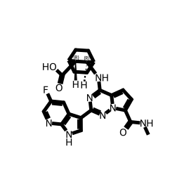 CNC(=O)c1ccc2c(N[C@@H]3C4CCC(CC4)[C@H]3C(=O)O)nc(-c3c[nH]c4ncc(F)cc34)nn12